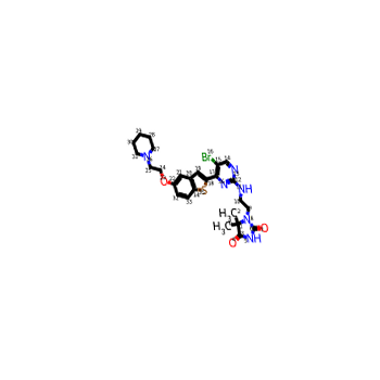 CC1(C)C(=O)NC(=O)N1CCNc1ncc(Br)c(-c2cc3cc(OCCN4CCCCC4)ccc3s2)n1